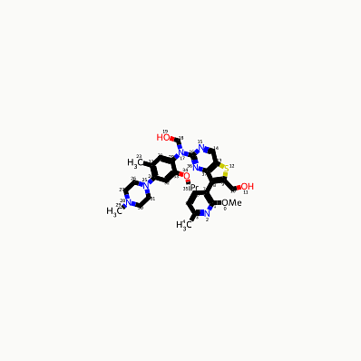 COc1nc(C)ccc1-c1c(CO)sc2cnc(N(CO)c3cc(C)c(N4CCN(C)CC4)cc3OC(C)C)nc12